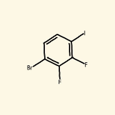 Fc1c(Br)ccc(I)c1F